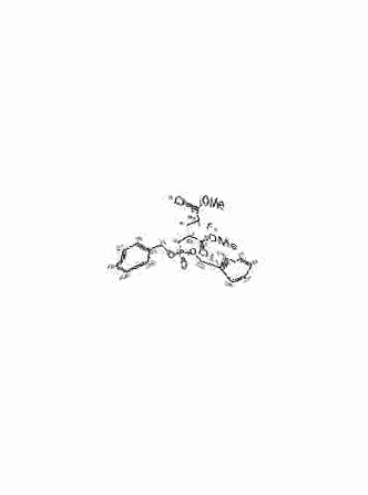 COC(=O)[C@@H](C[C@@H](F)C(=O)OC)CP(=O)(OCc1ccccc1)OCc1ccccc1